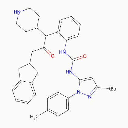 Cc1ccc(-n2nc(C(C)(C)C)cc2NC(=O)Nc2ccccc2C(C(=O)CC2Cc3ccccc3C2)C2CCNCC2)cc1